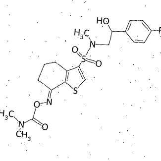 CN(C)C(=O)ON=C1CCCc2c(S(=O)(=O)N(C)CC(O)c3ccc(F)cc3)csc21